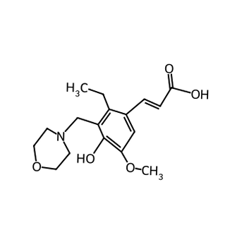 CCc1c(C=CC(=O)O)cc(OC)c(O)c1CN1CCOCC1